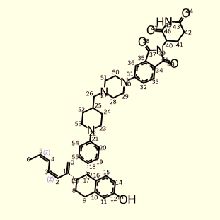 C=C(/C=C\C=C/C)[C@H]1CCc2cc(O)ccc2[C@H]1c1ccc(N2CCC(CN3CCN(c4ccc5c(c4)C(=O)N(C4CCC(=O)NC4=O)C5=O)CC3)CC2)cc1